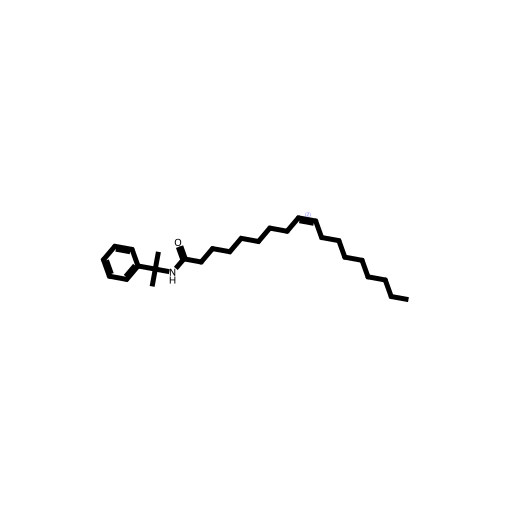 CCCCCCCC/C=C\CCCCCCCC(=O)NC(C)(C)c1ccccc1